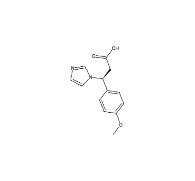 COc1ccc([C@H](CC(=O)O)n2ccnc2)cc1